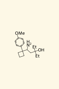 CCC(O)(CC)CC(N)C1(c2ccc(OC)cc2)CCC1